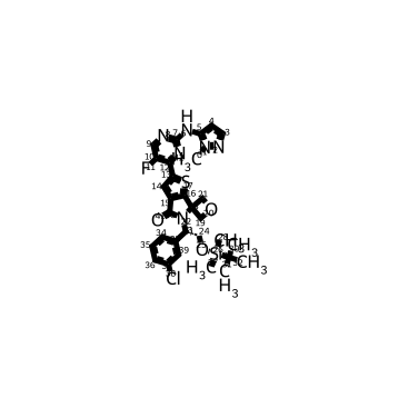 Cn1nccc1Nc1ncc(F)c(-c2cc3c(s2)C2(COC2)N([C@H](CO[Si](C)(C)C(C)(C)C)c2cccc(Cl)c2)C3=O)n1